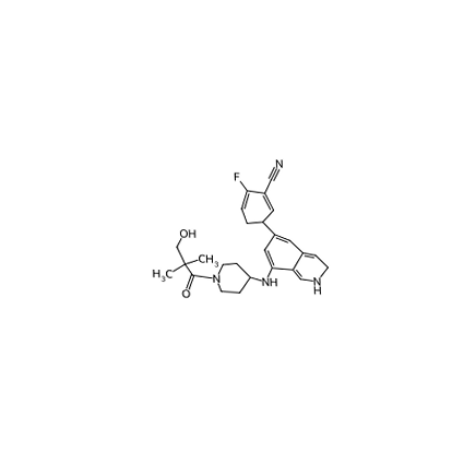 CC(C)(CO)C(=O)N1CCC(Nc2cc(C3C=C(C#N)C(F)=CC3)cc3c2=CNCC=3)CC1